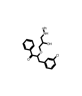 CCCNCC(O)COC(Cc1cccc(Cl)c1)C(=O)c1ccccc1